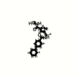 C[C@H](NC(=O)c1ccc(-c2ccccc2)cc1)c1cc(C(=O)NO)sn1